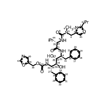 CC(C)c1nc(CN(C)C(=O)N[C@H](C(=O)N[C@@H](Cc2ccccc2)[C@@H](O)[C@@H](O)[C@H](Cc2ccccc2)NC(=O)OCc2cnco2)C(C)C)co1